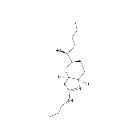 CCCC[C@H](O)[C@H]1CC[C@H]2N=C(NCCC)S[C@H]2O1